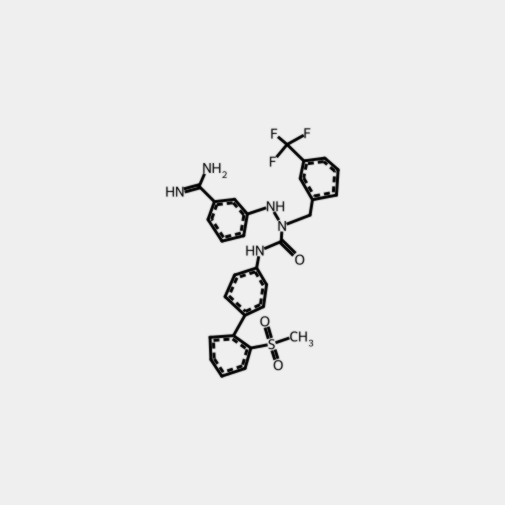 CS(=O)(=O)c1ccccc1-c1ccc(NC(=O)N(Cc2cccc(C(F)(F)F)c2)Nc2cccc(C(=N)N)c2)cc1